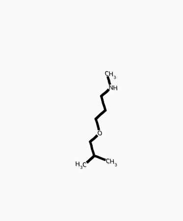 CNCCCOCC(C)C